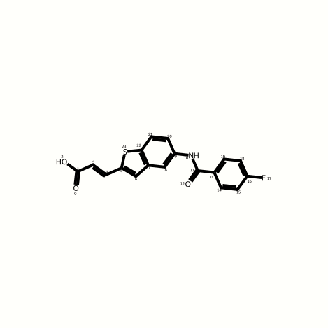 O=C(O)/C=C/c1cc2cc(NC(=O)c3ccc(F)cc3)ccc2s1